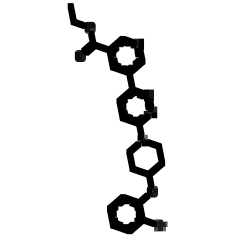 CCOC(=O)c1cncc(-c2ccc(N3CCC(Oc4ccccc4Br)CC3)nn2)c1